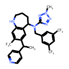 CC(c1ccncc1)c1cc2c(cc1C(F)(F)F)NCCCC2N(Cc1cc(C(F)(F)F)cc(C(F)(F)F)c1)c1nnn(C)n1